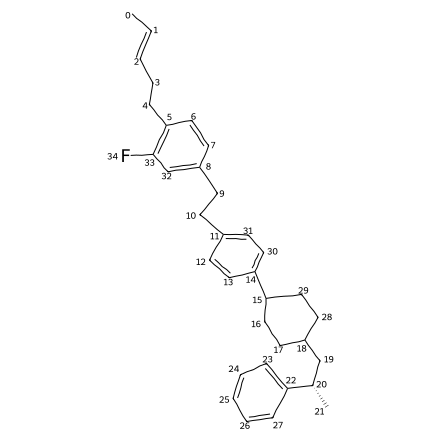 C/C=C/CCc1ccc(CCc2ccc(C3CCC(C[C@H](C)c4ccccc4)CC3)cc2)cc1F